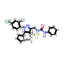 Cc1c(CN(S)C(=O)Nc2ccccc2)nn(-c2ccc(Cl)cc2Cl)c1C1=CC=C[SeH2]1